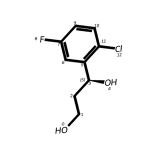 OCC[C@H](O)c1cc(F)ccc1Cl